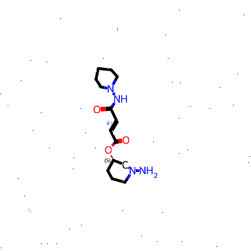 NN1CCC[C@H](OC(=O)/C=C/C(=O)NN2CCCCC2)C1